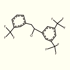 [O]C(Cc1cccc(C(F)(F)F)c1)c1cc(C(F)(F)F)cc(C(F)(F)F)c1